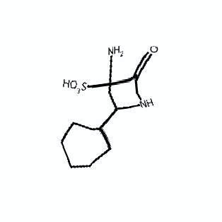 NC1(S(=O)(=O)O)C(=O)NC1C1CCCCC1